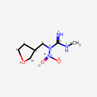 CNC(=N)N(CC1CCOC1)[N+](=O)[O-]